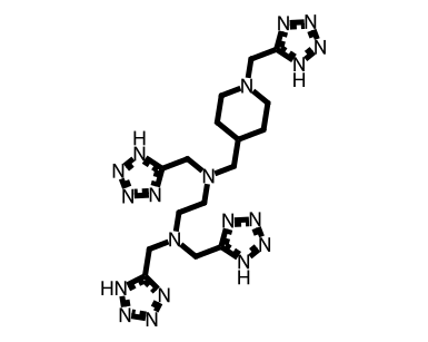 C1CN(Cc2nnn[nH]2)CCC1CN(CCN(Cc1nnn[nH]1)Cc1nnn[nH]1)Cc1nnn[nH]1